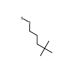 CC(C)(C)CCCS[S]